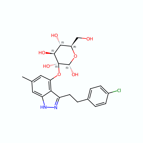 Cc1cc(O[C@]2(O)[C@@H](O)O[C@H](CO)[C@@H](O)[C@@H]2O)c2c(CCc3ccc(Cl)cc3)n[nH]c2c1